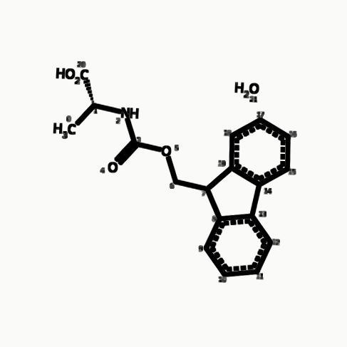 C[C@@H](NC(=O)OCC1c2ccccc2-c2ccccc21)C(=O)O.O